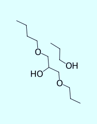 CCCCOCC(O)COCCC.CCCO